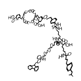 CC(C)Cc1ccc(CCCC(=O)NCCCCC(NC(=O)C(CCCCNC(=S)Nc2ccc(CCOc3cc(CN4CCOCCOCCN(Cc5cccc(C(=O)O)n5)CCOCCOCC4)nc(C(=O)O)c3)cc2)NC(=O)CCOCCOCCOCCNC(=O)OCC2c3ccccc3-c3ccccc32)C(=O)O)cc1